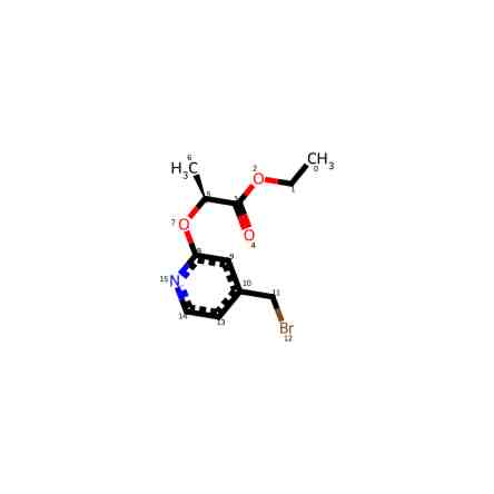 CCOC(=O)[C@H](C)Oc1cc(CBr)ccn1